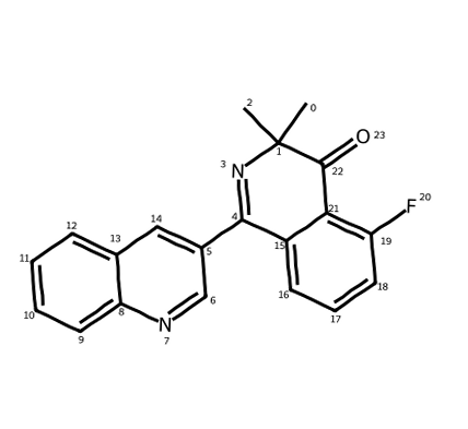 CC1(C)N=C(c2cnc3ccccc3c2)c2cccc(F)c2C1=O